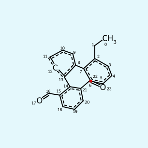 CCc1ccccc1-c1ccccc1-c1c(C=O)cccc1C=O